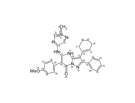 C=N/N=C\C(=N/C)Nc1[nH]c2c(C3=CCCCC3)c(-c3ccccc3)nn2c(=O)c1-c1ccc(OC)cc1